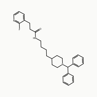 O=C(CCc1cccnc1F)NCCCCC1CCN(C(c2ccccc2)c2ccccc2)CC1